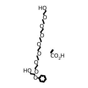 C=CC(=O)O.OCCOCCOCCOCCOCCOCCOCCOC(CO)Oc1ccccc1